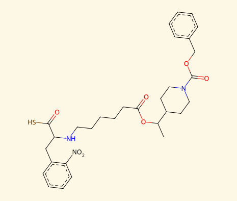 CC(OC(=O)CCCCCNC(Cc1ccccc1[N+](=O)[O-])C(=O)S)C1CCN(C(=O)OCc2ccccc2)CC1